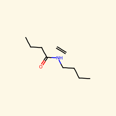 C=C.CCCCNC(=O)CCC